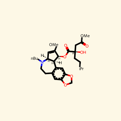 CCCCN1CCc2cc3c(cc2[C@@H]2[C@H](OC(=O)[C@@](O)(CCC(C)C)CC(=O)OC)C(OC)=C[C@@H]21)OCO3